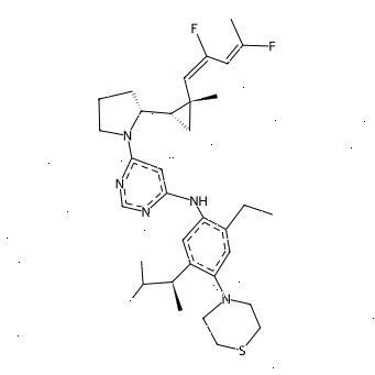 CCc1cc(N2CCSCC2)c([C@@H](C)C(C)C)cc1Nc1cc(N2CCC[C@@H]2[C@H]2C[C@@]2(C)/C=C(F)\C=C(/C)F)ncn1